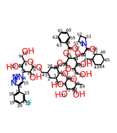 CC1CC(CO[C@H]2OC(CO)[C@@H](O)C(n3cc(-c4cccc(F)c4)nn3)C2O)C[C@@H](O[C@@H]2OC(CO)[C@H](O)C(O[C@@H](CC3CCCCC3)C(=O)N3CCC3)C2OC(=O)c2ccccc2)C1O[C@@H]1OC(C)[C@@H](O)C(O)C1O